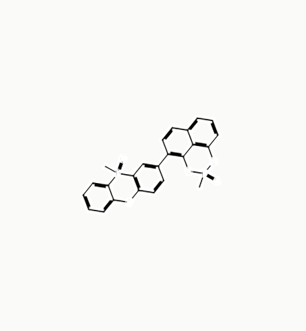 CP1(=O)Oc2cccc3ccc(-c4ccc5c(c4)P(C)(=O)c4ccccc4O5)c(c23)O1